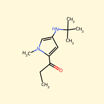 CCC(=O)c1cc(NC(C)(C)C)cn1C